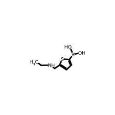 CCNCc1ccc(B(O)O)s1